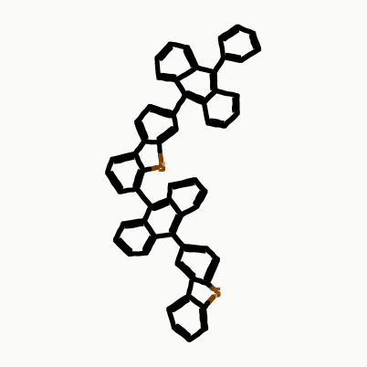 c1ccc(-c2c3ccccc3c(-c3ccc4c(c3)sc3c(-c5c6ccccc6c(-c6ccc7sc8ccccc8c7c6)c6ccccc56)cccc34)c3ccccc23)cc1